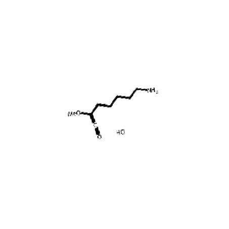 COC(=C=O)CCCCCN.Cl